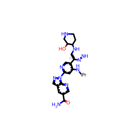 CC(C)Nc1cc(-n2ncc3cc(C(N)=O)cnc32)ncc1/C(=C/NC1CCNCC1O)N=N